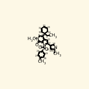 CCC1(c2cn(C)c(=O)c3c2cc(-c2cnn(C)c2)n3S(=O)(=O)c2ccc(C)cc2)C=CC=CC1